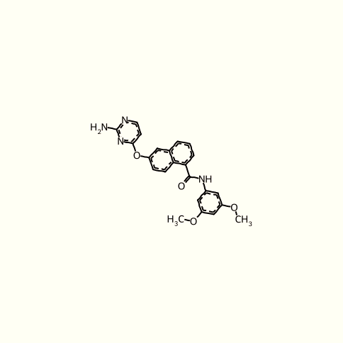 COc1cc(NC(=O)c2cccc3cc(Oc4ccnc(N)n4)ccc23)cc(OC)c1